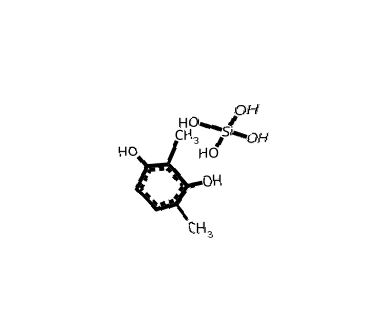 Cc1ccc(O)c(C)c1O.O[Si](O)(O)O